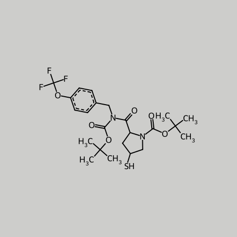 CC(C)(C)OC(=O)N(Cc1ccc(OC(F)(F)F)cc1)C(=O)C1CC(S)CN1C(=O)OC(C)(C)C